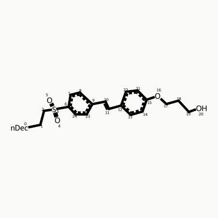 CCCCCCCCCCCCS(=O)(=O)c1ccc(C=Cc2ccc(OCCCO)cc2)cc1